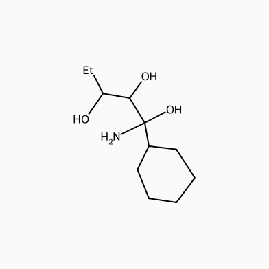 CCC(O)C(O)C(N)(O)C1CCCCC1